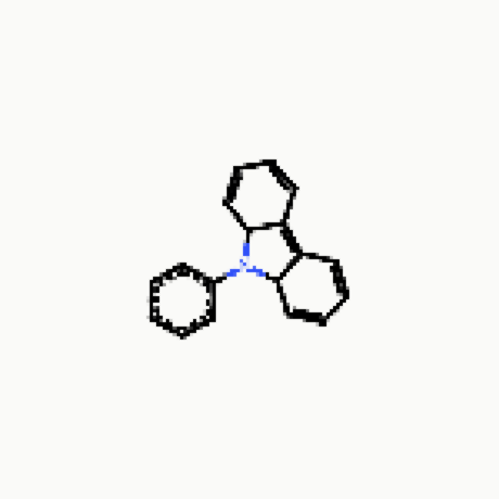 C1=CC2=C3C=CC=CC3N(c3ccccc3)C2C=C1